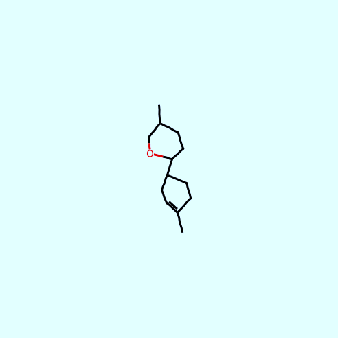 CC1=CCC(C2CCC(C)CO2)CC1